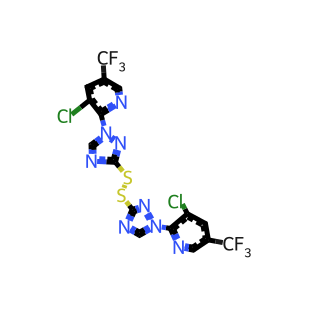 FC(F)(F)c1cnc(-n2cnc(SSc3ncn(-c4ncc(C(F)(F)F)cc4Cl)n3)n2)c(Cl)c1